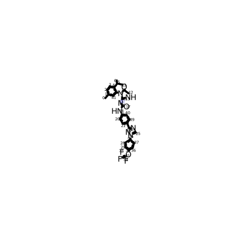 Cc1ccc(C(C)C)c(N2C(=O)CN/C2=N\C(=O)Nc2ccc(-c3ncn(-c4ccc(OC(F)(F)F)cc4)n3)cc2)c1